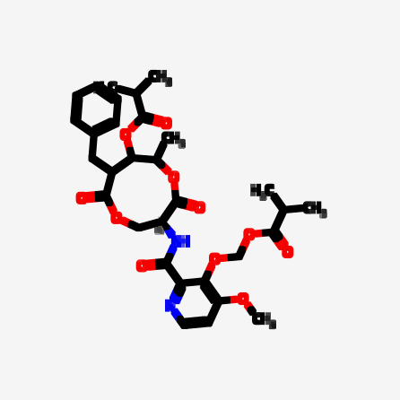 COc1ccnc(C(=O)N[C@H]2COC(=O)C(Cc3ccccc3)C(OC(=O)C(C)C)C(C)OC2=O)c1OCOC(=O)C(C)C